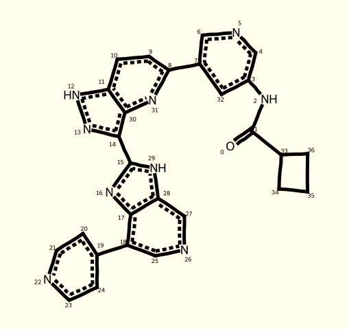 O=C(Nc1cncc(-c2ccc3[nH]nc(-c4nc5c(-c6ccncc6)cncc5[nH]4)c3n2)c1)C1CCC1